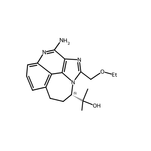 CCOCc1nc2c(N)nc3cccc4c3c2n1[C@H](C(C)(C)O)CC4